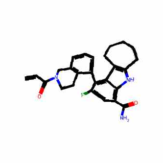 C=CC(=O)N1CCc2c(cccc2-c2c(F)cc(C(N)=O)c3[nH]c4c(c23)CCCCC4)C1